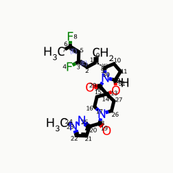 C=C(/C=C(F)\C=C(/C)F)[C@@H]1CC[C@H]2OC3(CCN(C(=O)c4ccn(C)n4)CC3)C(=O)N21